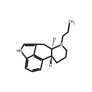 CCCN1CCC[C@@H]2c3cccc4[nH]cc(c34)C[C@H]21